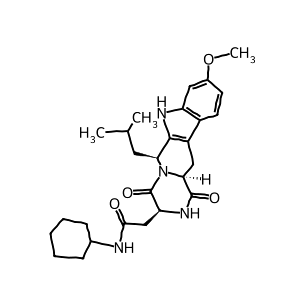 COc1ccc2c3c([nH]c2c1)[C@H](CC(C)C)N1C(=O)[C@H](CC(=O)NC2CCCCC2)NC(=O)[C@@H]1C3